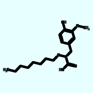 CCCCCCCCON(Cc1ccc(O)c(OC)c1)C(=O)O